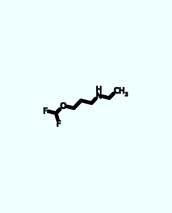 CCNCCCOC(F)F